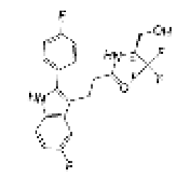 O=C(CCc1c(-c2ccc(F)cc2)[nH]c2ccc(F)cc12)N[C@@H](CO)C(F)(F)F